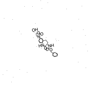 O=C(NC1CCc2cc(N3C[C@H](CO)OC3=O)ccc2NC1=O)OCc1ccccc1